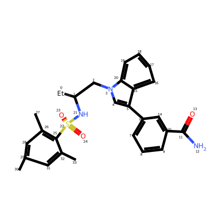 CCC(Cn1cc(-c2cccc(C(N)=O)c2)c2ccccc21)NS(=O)(=O)c1c(C)cc(C)cc1C